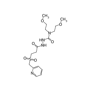 COCCN(CCOC)C(=O)NNC(=O)CCS(=O)(=O)Cc1ccccn1